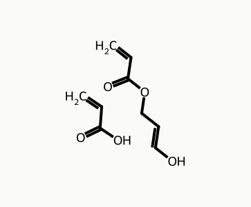 C=CC(=O)O.C=CC(=O)OCC=CO